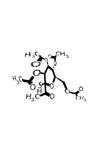 CC(=O)OC[C@H]1O[C@](S)(C(C)=O)[C@@H](OC(C)=O)[C@@H](OC(C)=O)[C@@H]1OC(C)=O